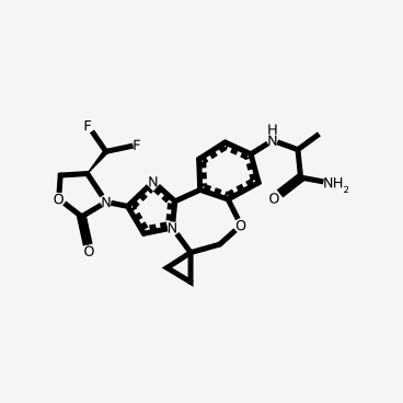 CC(Nc1ccc2c(c1)OCC1(CC1)n1cc(N3C(=O)OC[C@H]3C(F)F)nc1-2)C(N)=O